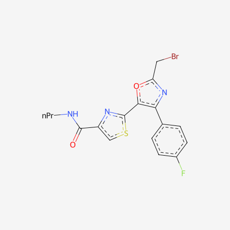 CCCNC(=O)c1csc(-c2oc(CBr)nc2-c2ccc(F)cc2)n1